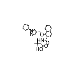 CC(C)(C)[C@H](NC(=O)c1ccc2ccccc2c1OCc1cnn(-c2ccccc2)c1)C(=O)O